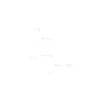 COC(=O)C12CCC(N)(CC1)CC2.Cl